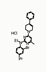 CCN(c1nc(C)cc(N2CC=C(c3ccccc3)CC2)n1)c1ccc(C(C)C)cc1Br.Cl